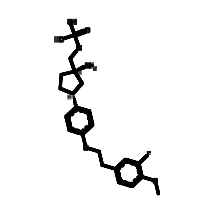 COc1ccc(CCOc2ccc([C@@H]3CC[C@](N)(COP(=O)(O)O)C3)cc2)cc1F